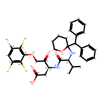 CC(C)[C@H](NC1(C(c2ccccc2)c2ccccc2)CCCCO1)C(=O)N[C@@H](CC(=O)O)C(=O)COc1c(F)c(F)cc(F)c1F